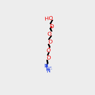 [N-]=[N+]=NCCOCCOCCOCCOCCOCCO